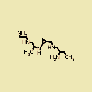 CCC(N)CNCC1CC1NC(C)CNCCN